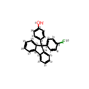 Oc1ccc(C2(c3ccc(F)cc3)c3ccccc3-c3ccccc32)cc1